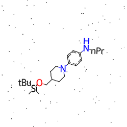 CCCNc1ccc(N2CCC(CO[Si](C)(C)C(C)(C)C)CC2)cc1